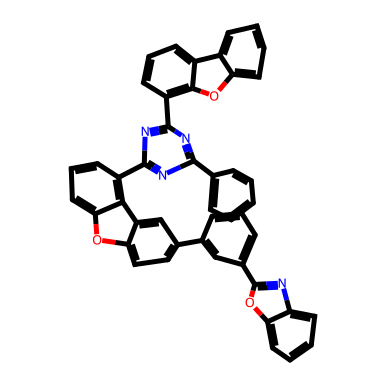 c1ccc(-c2nc(-c3cccc4c3oc3ccccc34)nc(-c3cccc4oc5ccc(-c6cccc(-c7nc8ccccc8o7)c6)cc5c34)n2)cc1